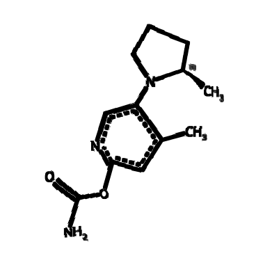 Cc1cc(OC(N)=O)ncc1N1CCC[C@H]1C